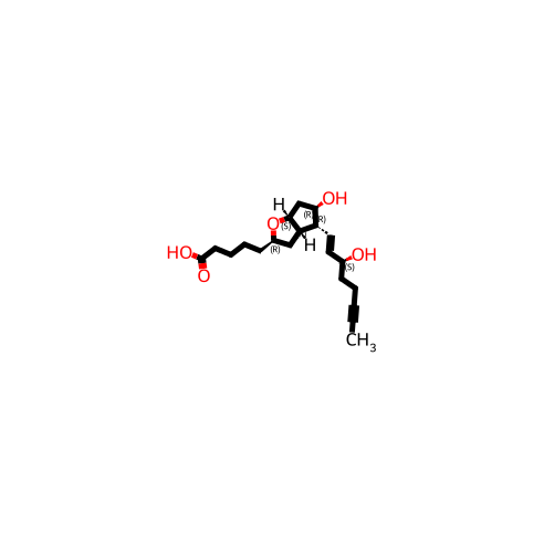 CC#CCC[C@H](O)C=C[C@@H]1[C@H]2C[C@@H](CCCCC(=O)O)O[C@H]2C[C@H]1O